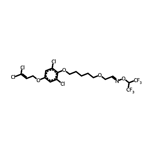 FC(F)(F)C(ON=CCOCCCCCOc1c(Cl)cc(OCC=C(Cl)Cl)cc1Cl)C(F)(F)F